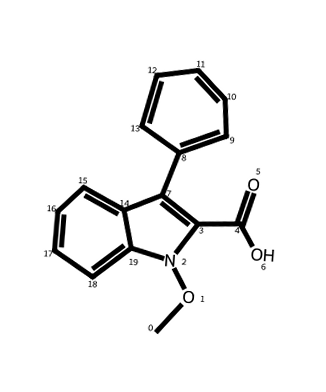 COn1c(C(=O)O)c(-c2ccccc2)c2ccccc21